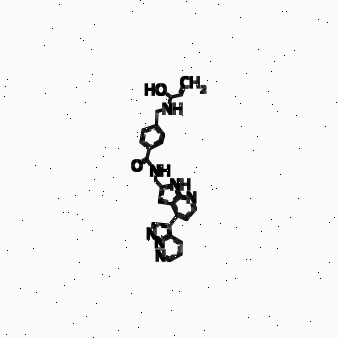 C=CC(O)NCc1ccc(C(=O)NCc2cc3c(-c4cnn5ncccc45)ccnc3[nH]2)cc1